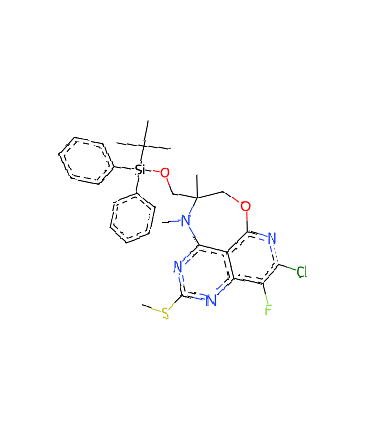 CSc1nc2c3c(nc(Cl)c(F)c3n1)OCC(C)(CO[Si](c1ccccc1)(c1ccccc1)C(C)(C)C)N2C